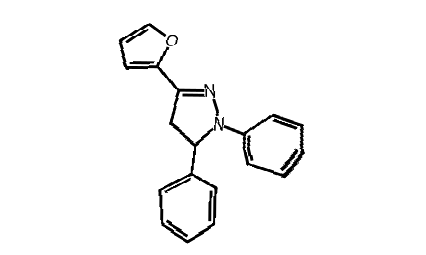 c1ccc(C2CC(c3ccco3)=NN2c2ccccc2)cc1